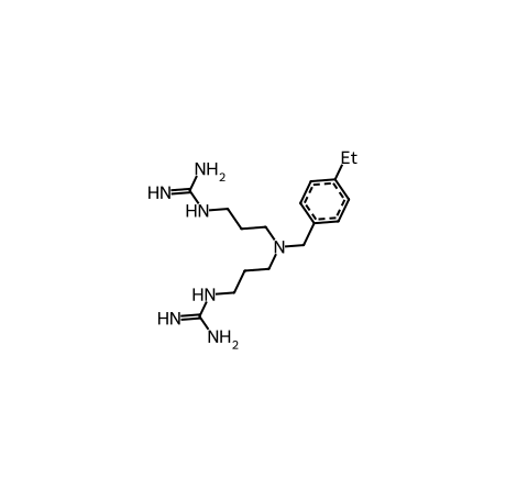 CCc1ccc(CN(CCCNC(=N)N)CCCNC(=N)N)cc1